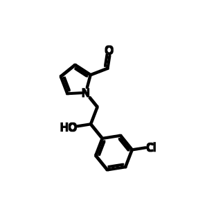 O=Cc1cccn1CC(O)c1cccc(Cl)c1